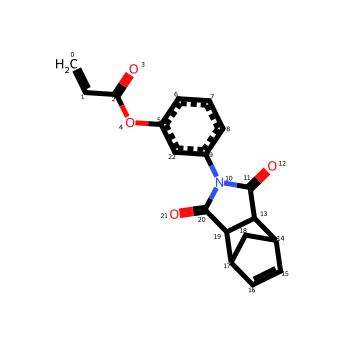 C=CC(=O)Oc1cccc(N2C(=O)C3C4C=CC(C4)C3C2=O)c1